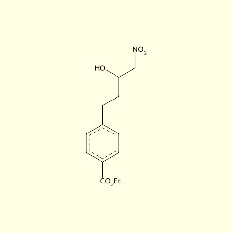 CCOC(=O)c1ccc(CCC(O)C[N+](=O)[O-])cc1